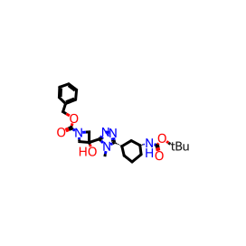 Cn1c([C@H]2CCC[C@@H](NC(=O)OC(C)(C)C)C2)nnc1C1(O)CN(C(=O)OCc2ccccc2)C1